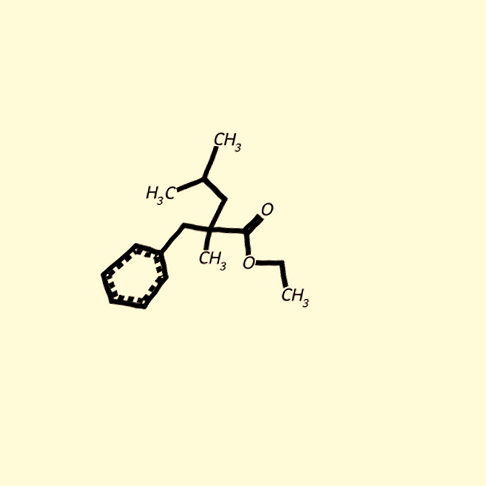 CCOC(=O)C(C)(Cc1ccccc1)CC(C)C